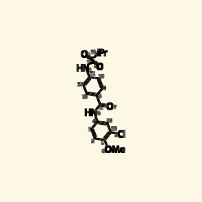 COc1ccc(NC(=O)c2ccc(NS(=O)(=O)C(C)C)cc2)cc1Cl